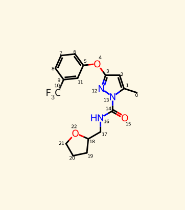 Cc1cc(Oc2cccc(C(F)(F)F)c2)nn1C(=O)NCC1CCCO1